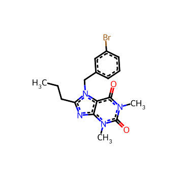 CCCc1nc2c(c(=O)n(C)c(=O)n2C)n1Cc1cccc(Br)c1